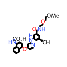 C#Cc1cc(Nc2cc(Oc3ccc(NC(=O)O)c4ccccc34)ccn2)cc(C(=O)NCCOCCOC)c1